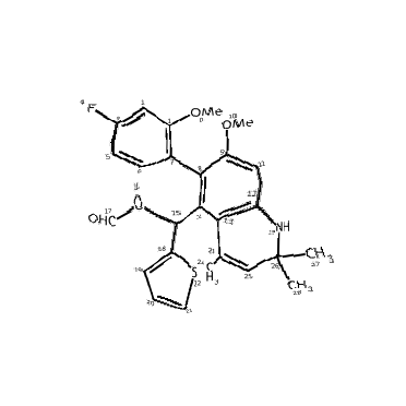 COc1cc(F)ccc1-c1c(OC)cc2c(c1C(OC=O)c1cccs1)C(C)=CC(C)(C)N2